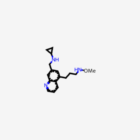 CONCCCc1cc(CNC2CC2)cc2ncccc12